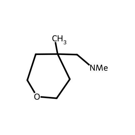 CNCC1(C)CCOCC1